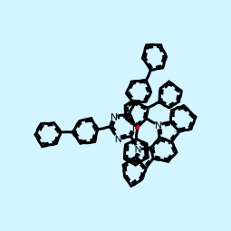 c1ccc(-c2ccc(-c3nc(-c4ccc(-c5ccccc5)cc4)nc(-n4c5ccccc5c5ccc6c7ccccc7n(-c7c(-c8ccccc8)cccc7-c7ccccc7)c6c54)n3)cc2)cc1